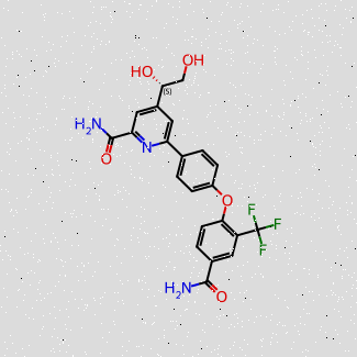 NC(=O)c1ccc(Oc2ccc(-c3cc([C@H](O)CO)cc(C(N)=O)n3)cc2)c(C(F)(F)F)c1